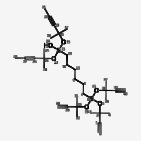 C#CC(C)(C)O[Si](CCCCCC[Si](O)(OC(C)(C)C#CC)OC(C)(C)C#CC)(OC(C)(C)C#C)OC(C)(C)C#C